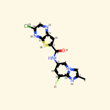 Cc1cn2cc(NC(=O)c3cc4ncc(Cl)nc4s3)cc(F)c2n1